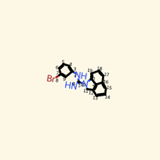 N=C(Nc1cccc(Br)c1)N1Cc2cccc3cccc1c23